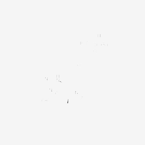 CC(=O)N1c2ccc(OCCO[Si](C)(C)C(C)(C)C)cc2[C@H](Nc2nccc(C)n2)[C@@H](C)[C@@H]1C1CC1